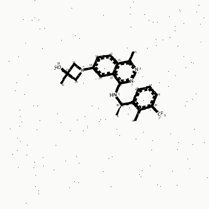 Cc1c([C@@H](C)Nc2nnc(C)c3ccc(N4CC(C)(O)C4)cc23)cccc1C(F)(F)F